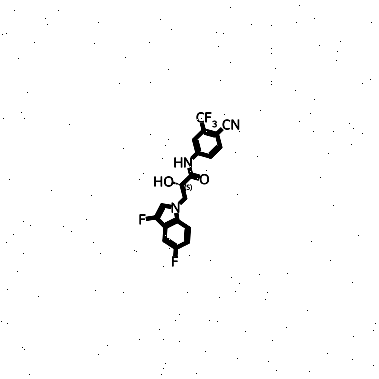 N#Cc1ccc(NC(=O)[C@@H](O)Cn2cc(F)c3cc(F)ccc32)cc1C(F)(F)F